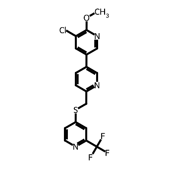 COc1ncc(-c2ccc(CSc3ccnc(C(F)(F)F)c3)nc2)cc1Cl